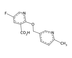 Cc1ccc(COc2ncc(F)cc2C(=O)O)cn1